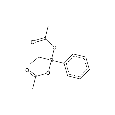 CC[Si](OC(C)=O)(OC(C)=O)c1ccccc1